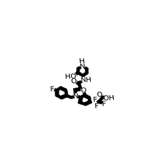 O=C(NC1CCNCC1O)C1=CN(Cc2ccc(F)cc2)c2ccccc2O1.O=C(O)C(F)(F)F